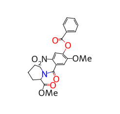 COC(=O)C1CCCCN1C(=O)c1cc(OC)c(OC(=O)c2ccccc2)cc1[N+](=O)[O-]